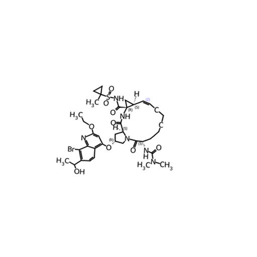 CCOc1cc(O[C@@H]2C[C@H]3C(=O)N[C@]4(C(=O)NS(=O)(=O)C5(C)CC5)C[C@H]4/C=C\CCCCC[C@H](NC(=O)N(C)C)C(=O)N3C2)c2ccc(C(C)O)c(Br)c2n1